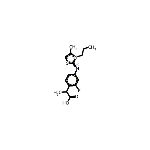 CCCn1c(C)cs/c1=N\c1ccc(C(C)C(=O)O)c(F)c1